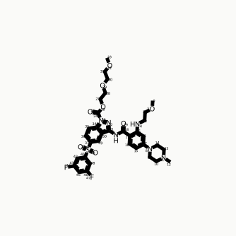 COCCNc1cc(N2CCN(C)CC2)ccc1C(=O)Nc1nn(C(=O)OCCOCCOC)c2ccc(S(=O)(=O)c3cc(F)cc(F)c3)cc12